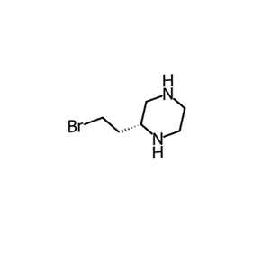 BrCC[C@@H]1CNCCN1